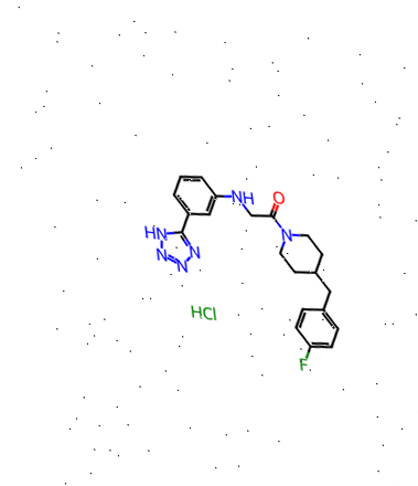 Cl.O=C(CNc1cccc(-c2nnn[nH]2)c1)N1CCC(Cc2ccc(F)cc2)CC1